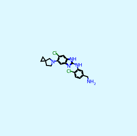 NCc1ccc(Cl)c(Nc2nc3cc(N4CCC5(CC5)C4)c(Cl)cc3[nH]2)c1